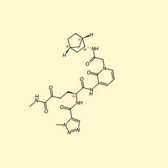 CNC(=O)C(=O)CC[C@H](NC(=O)c1cnnn1C)C(=O)Nc1cccn(CC(=O)N[C@@H]2C[C@@H]3CC[C@H]2C3)c1=O